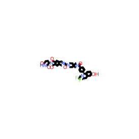 C[C@@H]1Cc2cc(O)ccc2[C@@H](c2ccc(C(=O)N3CC4(CCN(C(=O)CN5Cc6cc7c(cc6C5)C(=O)N(C5CCC(=O)NC5=O)C7=O)CC4)C3)cc2)N1CC(F)F